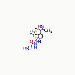 Cc1noc(C)c1-c1ccc2nc(NC(=O)C3CCNC3)sc2c1C